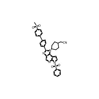 CS(=O)(=O)c1ccc(-c2ccc(-c3nc4cnc5c(ccn5S(=O)(=O)c5ccccc5)c4n3C3CCC(CC#N)CC3)cc2)cc1